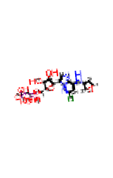 O=P(O)(O)CP(=O)(O)OC[C@H]1O[C@@H](c2cnc3c(N[C@@H]4CCOC4)cc(Cl)nn23)[C@H](O)[C@@H]1O